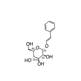 OC[C@H]1O[C@H](OC=Cc2ccccc2)[C@@H](O)[C@@H](O)[C@@H]1O